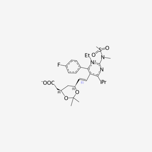 CC[n+]1c(N(C)S(C)(=O)=O)nc(C(C)C)c(/C=C/[C@@H]2C[C@H](CC(=O)[O-])OC(C)(C)O2)c1-c1ccc(F)cc1